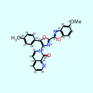 COc1ccc2oc(-c3nc(-n4ccc5cccnc5c4=O)c(-c4ccc(C)cc4)o3)nc2c1